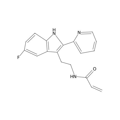 C=CC(=O)NCCc1c(-c2ccccn2)[nH]c2ccc(F)cc12